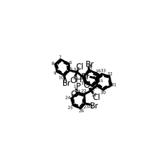 O=[PH](OC(Cl)(c1ccccc1Br)c1ccccc1Br)OC(Cl)(c1ccccc1Br)c1ccccc1Br